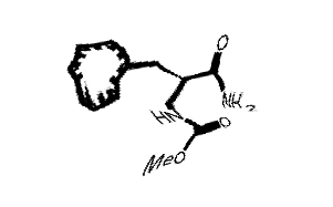 COC(=O)N[C@@H](Cc1ccccc1)C(N)=O